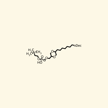 CCCCCCCCCCCCCCCCCC1COC(COOP(=O)(O)OCC[N+](C)(C)C)CO1